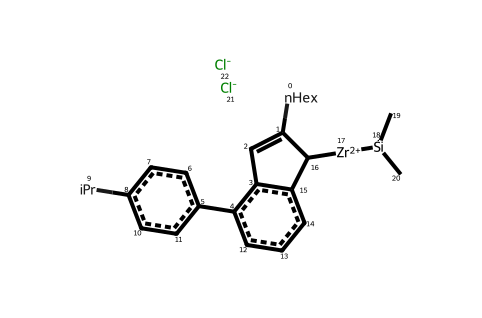 CCCCCCC1=Cc2c(-c3ccc(C(C)C)cc3)cccc2[CH]1[Zr+2][Si](C)C.[Cl-].[Cl-]